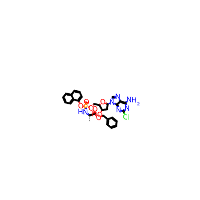 C[C@H](NP(=O)(OCC1O[C@@H](n2cnc3c(N)nc(Cl)nc32)C[C@H]1O)Oc1cccc2ccccc12)C(=O)OCc1ccccc1